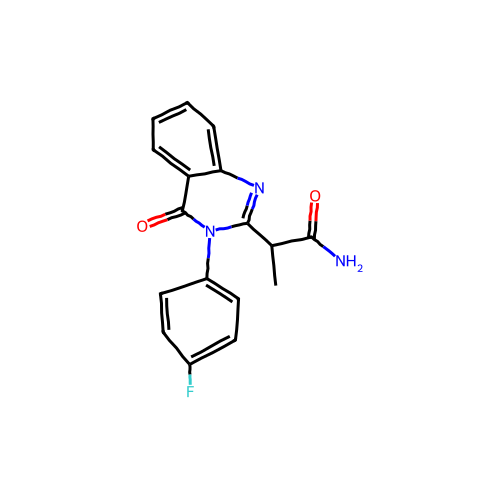 CC(C(N)=O)c1nc2ccccc2c(=O)n1-c1ccc(F)cc1